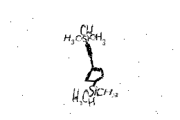 C[SiH](C)c1ccc(C#C[Si](C)(C)C)cc1